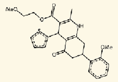 COCCOC(=O)C1=C(C)NC2=C(C(=O)CC(c3ccccc3OC)C2)C1c1cccs1